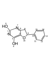 Oc1nc(O)c2c(n1)CC(c1ccccc1)O2